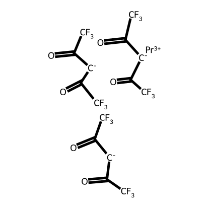 O=C([CH-]C(=O)C(F)(F)F)C(F)(F)F.O=C([CH-]C(=O)C(F)(F)F)C(F)(F)F.O=C([CH-]C(=O)C(F)(F)F)C(F)(F)F.[Pr+3]